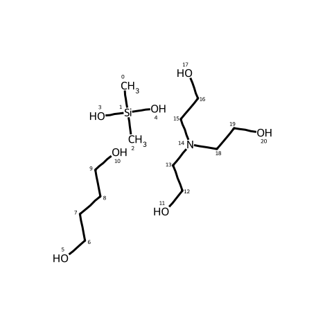 C[Si](C)(O)O.OCCCCO.OCCN(CCO)CCO